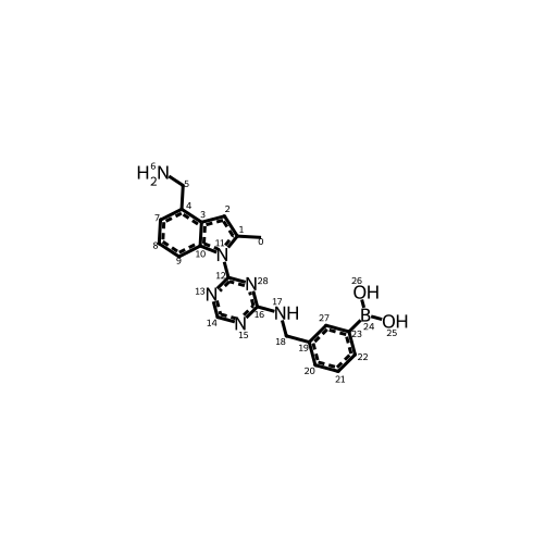 Cc1cc2c(CN)cccc2n1-c1ncnc(NCc2cccc(B(O)O)c2)n1